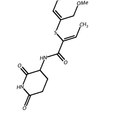 C/C=C(\S/C(=C/CC)COC)C(=O)NC1CCC(=O)NC1=O